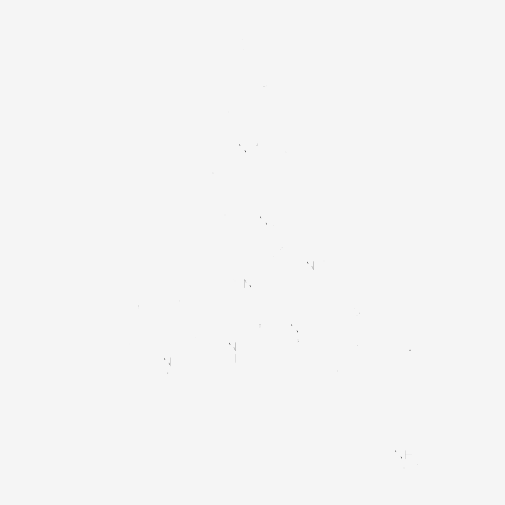 CC(C)c1cnc(Nc2nc(Sc3ccc(N)cc3)nc(N3CCN(CCO)CC3)n2)s1